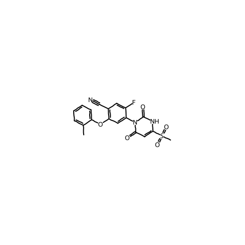 Cc1ccccc1Oc1cc(-n2c(=O)cc(S(C)(=O)=O)[nH]c2=O)c(F)cc1C#N